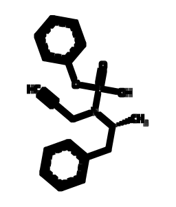 C#CCN([C@H](C)Cc1ccccc1)P(=O)(O)Oc1ccccc1